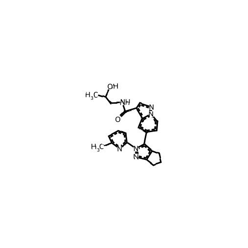 Cc1cccc(-n2nc3c(c2-c2ccn4ncc(C(=O)NCC(C)O)c4c2)CCC3)n1